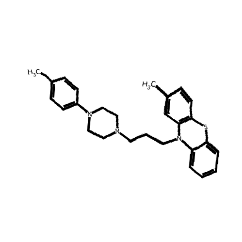 Cc1ccc(N2CCN(CCCN3c4ccccc4Sc4ccc(C)cc43)CC2)cc1